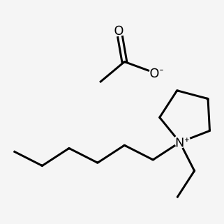 CC(=O)[O-].CCCCCC[N+]1(CC)CCCC1